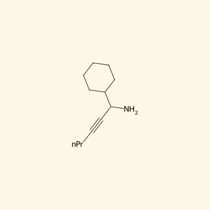 CCCC#CC(N)C1CCCCC1